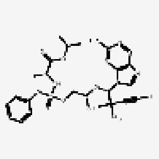 CC(C)OC(=O)[C@H](C)NP(=O)(OC[C@H](O)O[C@@H](n1cnc2cnc(N)nc21)C(C)(N)C#CCl)Oc1ccccc1